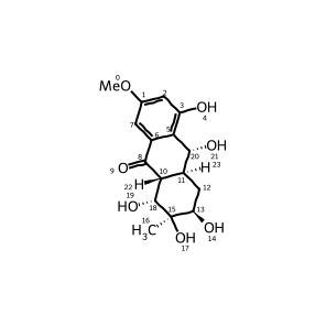 COc1cc(O)c2c(c1)C(=O)[C@@H]1[C@H](C[C@@H](O)[C@@](C)(O)[C@@H]1O)[C@H]2O